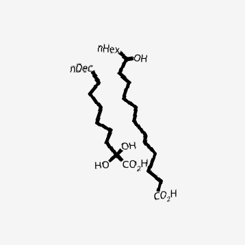 CCCCCCC(O)CCCCCCCCCCC(=O)O.CCCCCCCCCCCCCCCCC(O)(O)C(=O)O